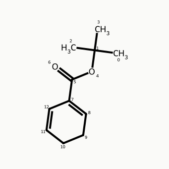 CC(C)(C)OC(=O)C1=CCCC=C1